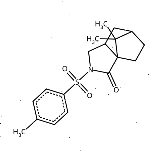 Cc1ccc(S(=O)(=O)N2CC3CC4CCC3(C2=O)C4(C)C)cc1